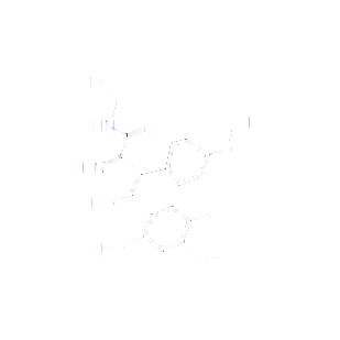 CCNC(=O)C(=N)/C(=C(\O)c1cc(Cl)c(O)cc1O)c1ccc(OC)cc1